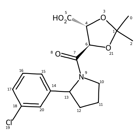 CC1(C)O[C@@H](C(=O)O)[C@H](C(=O)N2CCCC2c2cccc(Cl)c2)O1